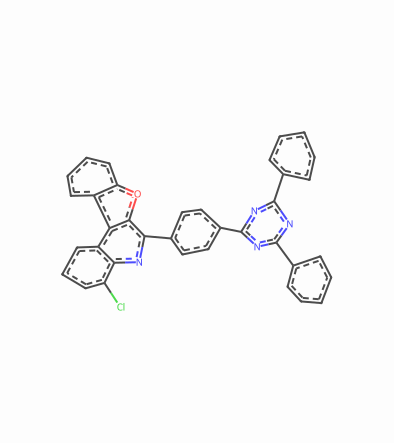 Clc1cccc2c1nc(-c1ccc(-c3nc(-c4ccccc4)nc(-c4ccccc4)n3)cc1)c1oc3ccccc3c12